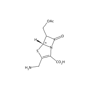 CC(=O)OCC1C(=O)N2C(C(=O)O)=C(CN)S[C@H]12